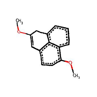 COC1=Cc2ccc(OC)c3cccc(c23)C1